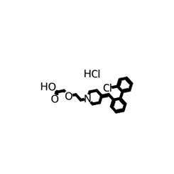 Cl.O=C(O)COCCN1CCC(=Cc2ccccc2-c2ccccc2Cl)CC1